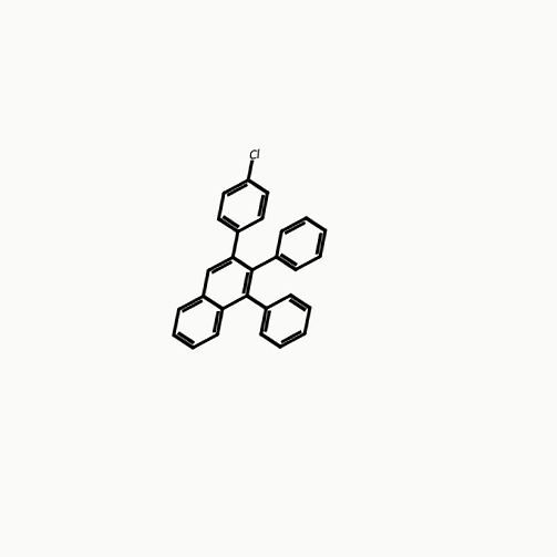 Clc1ccc(-c2cc3ccccc3c(-c3ccccc3)c2-c2ccccc2)cc1